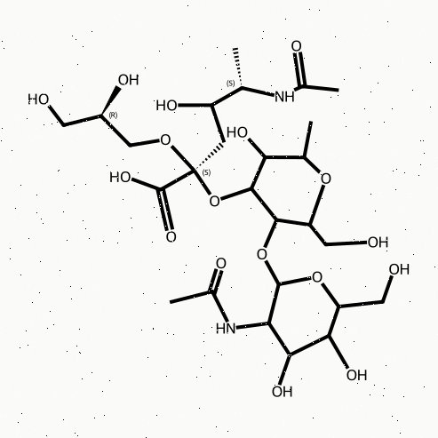 CC(=O)NC1C(OC2C(CO)OC(C)C(O)C2O[C@](CC(O)[C@H](C)NC(C)=O)(OC[C@H](O)CO)C(=O)O)OC(CO)C(O)C1O